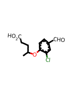 CC(CCC(=O)O)Oc1ccc(C=O)cc1Cl